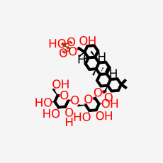 CC1(C)CC[C@]2(C(=O)O[C@@H]3O[C@H](CO[C@@H]4O[C@H](CO)[C@@H](O)[C@H](O)[C@H]4O)[C@@H](O)[C@H](O)[C@H]3O)CC[C@]3(C)C(=CC[C@@H]4[C@@]5(C)CC[C@H](O)[C@@](C)(COS(=O)(=O)O)[C@@H]5CC[C@]43C)[C@@H]2C1